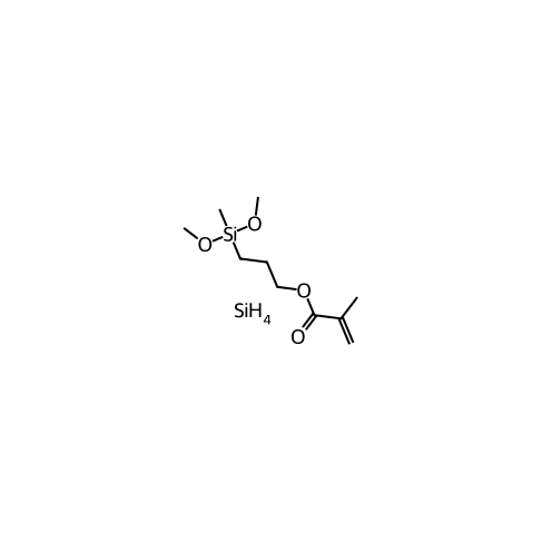 C=C(C)C(=O)OCCC[Si](C)(OC)OC.[SiH4]